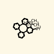 CC(C)c1ccc2c(c1[Si](C)(C)C)-c1ccccc1-c1ccccc1-c1ccccc1-2